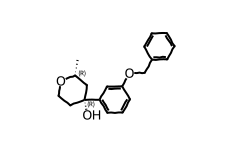 C[C@@H]1C[C@@](O)(c2cccc(OCc3ccccc3)c2)CCO1